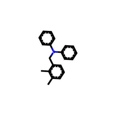 Cc1cccc(CN(c2ccccc2)c2ccccc2)c1C